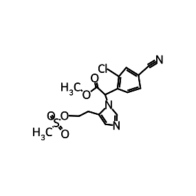 COC(=O)C(c1ccc(C#N)cc1Cl)n1cncc1CCOS(C)(=O)=O